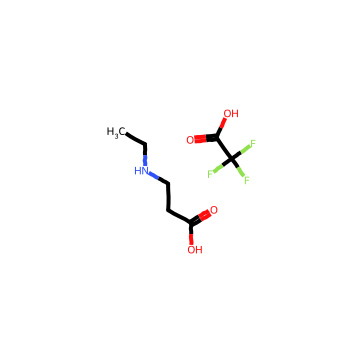 CCNCCC(=O)O.O=C(O)C(F)(F)F